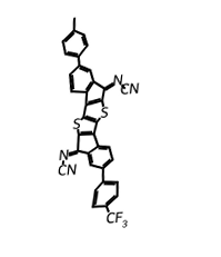 Cc1ccc(-c2ccc3c(c2)/c(=N/C#N)c2sc4c(sc5/c(=N/C#N)c6cc(-c7ccc(C(F)(F)F)cc7)ccc6c54)c23)cc1